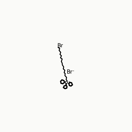 BrCCCCCCCCCCCCCCCCCCCC[P+](c1ccccc1)(c1ccccc1)c1ccccc1.[Br-]